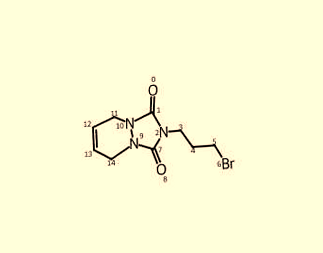 O=c1n(CCCBr)c(=O)n2n1CC=CC2